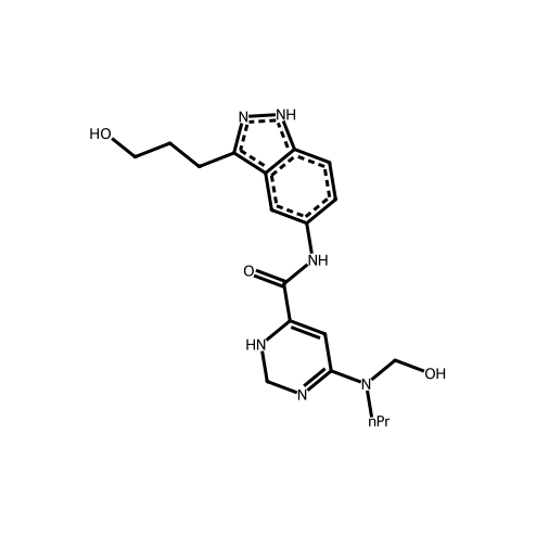 CCCN(CO)C1=NCNC(C(=O)Nc2ccc3[nH]nc(CCCO)c3c2)=C1